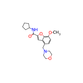 COc1ccc(CN2CCOCC2)c2cc(C(=O)NC3CCCC3)oc12